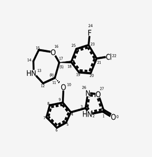 O=c1[nH]c(-c2ccccc2O[C@@H]2CNCCO[C@H]2c2ccc(Cl)c(F)c2)no1